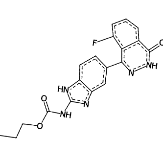 O=C(Nc1nc2cc(-c3n[nH]c(=O)c4cccc(F)c34)ccc2[nH]1)OCCF